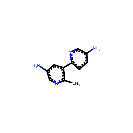 Cc1ncc(N)cc1-c1ccc(N)cn1